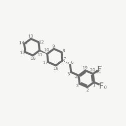 Fc1ccc(CC[C@H]2CC[C@H](C3CC[CH]CC3)CC2)cc1F